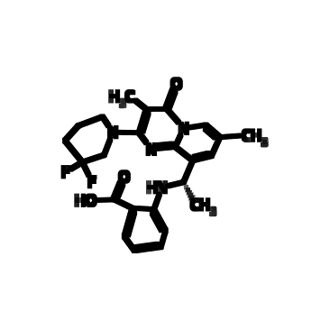 Cc1cc([C@H](C)Nc2ccccc2C(=O)O)c2nc(N3CCCC(F)(F)C3)c(C)c(=O)n2c1